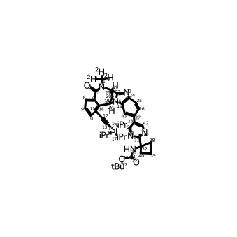 [2H]C([2H])([2H])N1C(=O)c2cccc(C#C[Si](C(C)C)(C(C)C)C(C)C)c2[C@H]2C[C@@H]1c1nc3ccc(-c4cnc(C5(NC(=O)OC(C)(C)C)CCC5)nc4)cc3n12